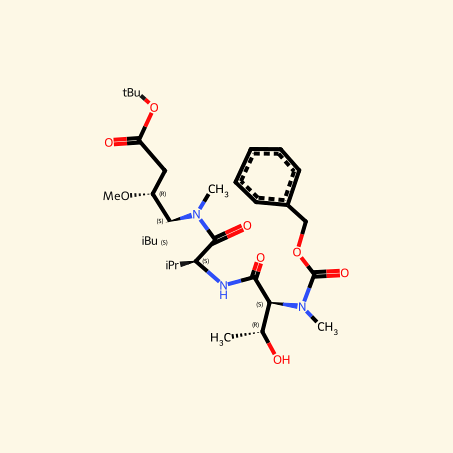 CC[C@H](C)[C@@H]([C@@H](CC(=O)OC(C)(C)C)OC)N(C)C(=O)[C@@H](NC(=O)[C@H]([C@@H](C)O)N(C)C(=O)OCc1ccccc1)C(C)C